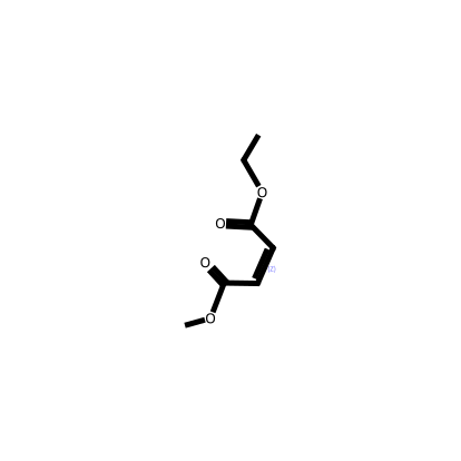 CCOC(=O)/C=C\C(=O)OC